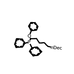 CCCCCCCCCCCCCCC(Oc1ccccc1)P(c1ccccc1)c1ccccc1